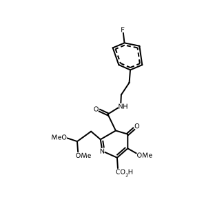 COC1=C(C(=O)O)N=C(CC(OC)OC)C(C(=O)NCCc2ccc(F)cc2)C1=O